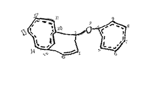 C1=CC(Oc2ccccc2)c2ccccc21